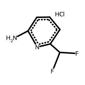 Cl.Nc1cccc(C(F)F)n1